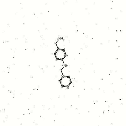 NCc1ccc(NCc2ccccc2)cc1